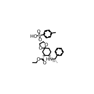 CCOC(=O)[C@@H]1CC2(CC[C@@H]1N[C@@H](C)c1ccccc1)OCCO2.Cc1ccc(S(=O)(=O)O)cc1